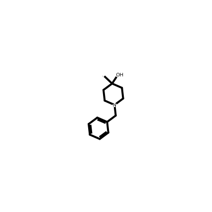 [CH2]C1(O)CCN(Cc2ccccc2)CC1